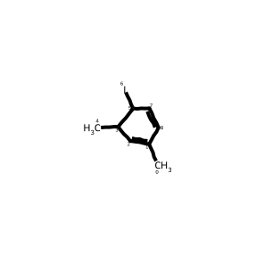 CC1=CC(C)[C](I)C=C1